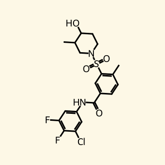 Cc1ccc(C(=O)Nc2cc(F)c(F)c(Cl)c2)cc1S(=O)(=O)N1CCC(O)C(C)C1